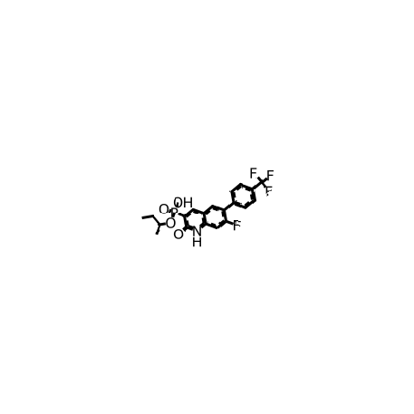 CCC(C)OP(=O)(O)c1cc2cc(-c3ccc(C(F)(F)F)cc3)c(F)cc2[nH]c1=O